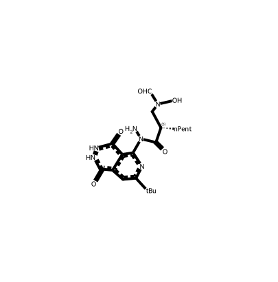 CCCCC[C@@H](CN(O)C=O)C(=O)N(N)c1nc(C(C)(C)C)cc2c(=O)[nH][nH]c(=O)c12